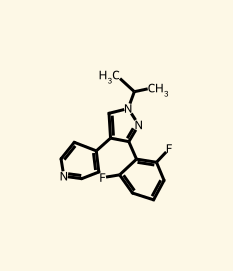 CC(C)n1cc(-c2ccncc2)c(-c2c(F)cccc2F)n1